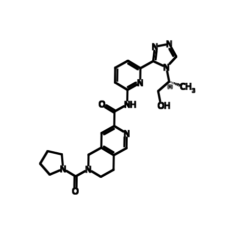 C[C@H](CO)n1cnnc1-c1cccc(NC(=O)c2cc3c(cn2)CCN(C(=O)N2CCCC2)C3)n1